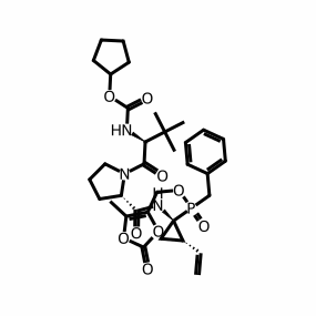 C=C[C@@H]1C[C@]1(NC(=O)[C@@H]1CCCN1C(=O)[C@@H](NC(=O)OC1CCCC1)C(C)(C)C)P(=O)(Cc1ccccc1)OCc1oc(=O)oc1C